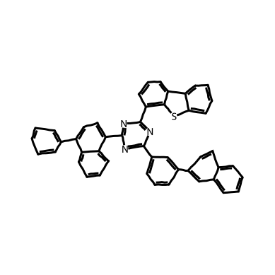 c1ccc(-c2ccc(-c3nc(-c4cccc(-c5ccc6ccccc6c5)c4)nc(-c4cccc5c4sc4ccccc45)n3)c3ccccc23)cc1